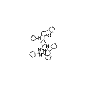 c1ccc(-c2nc(-c3ccccc3)nc(-c3cc4c(cc3-n3c5ccccc5c5ccccc53)c3c5oc6ccccc6c5ccc3n4-c3ccccc3)n2)cc1